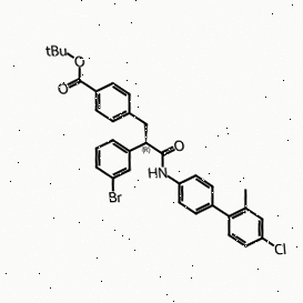 Cc1cc(Cl)ccc1-c1ccc(NC(=O)[C@H](Cc2ccc(C(=O)OC(C)(C)C)cc2)c2cccc(Br)c2)cc1